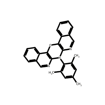 Cc1cc(C)c(N2c3ncc4ccccc4c3Oc3c2ncc2ccccc32)c(C)c1